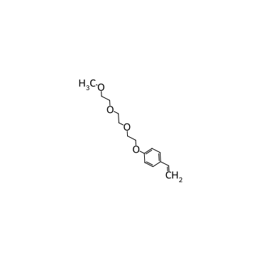 C=Cc1ccc(OCCOCCOCCOC)cc1